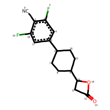 N#Cc1c(F)cc(C2CCC(C3CC(=O)O3)CC2)cc1F